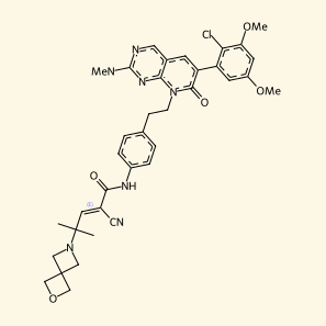 CNc1ncc2cc(-c3cc(OC)cc(OC)c3Cl)c(=O)n(CCc3ccc(NC(=O)/C(C#N)=C/C(C)(C)N4CC5(COC5)C4)cc3)c2n1